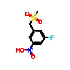 CS(=O)(=O)Cc1cc(F)cc([N+](=O)O)c1